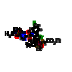 CC1=CC1.CCOC(=O)CSP(=S)(OCC)OCC.Cc1c(Br)c2ccc(F)cc2n1S(=O)(=O)c1ncn(S(=O)(=O)N(C)C)n1